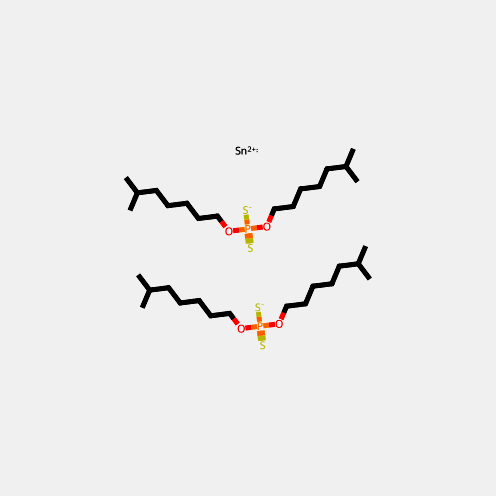 CC(C)CCCCCOP(=S)([S-])OCCCCCC(C)C.CC(C)CCCCCOP(=S)([S-])OCCCCCC(C)C.[Sn+2]